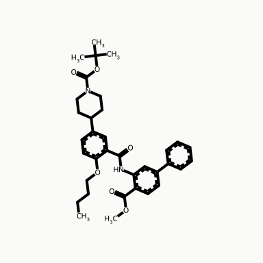 CCCCOc1ccc(C2CCN(C(=O)OC(C)(C)C)CC2)cc1C(=O)Nc1cc(-c2ccccc2)ccc1C(=O)OC